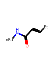 CCC=CC(=O)NCCCC